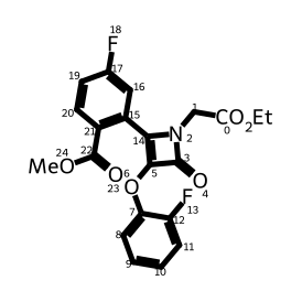 CCOC(=O)CN1C(=O)C(Oc2ccccc2F)=C1c1cc(F)ccc1C(=O)OC